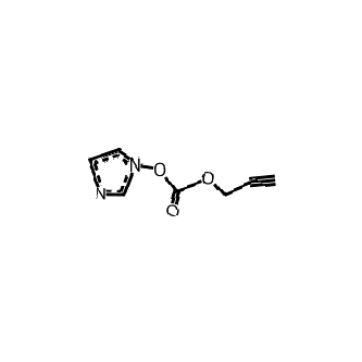 C#CCOC(=O)On1ccnc1